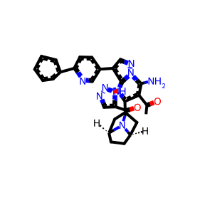 CC(=O)c1c(C2C[C@H]3CC[C@@H](C2)N3C(=O)c2cnn[nH]2)nc2c(-c3ccc(-c4ccccc4)nc3)cnn2c1N